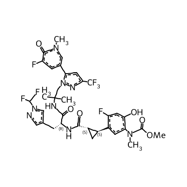 COC(=O)N(C)c1cc([C@H]2C[C@@H]2C(=O)N[C@H](Cc2cnn(C(F)F)c2)C(=O)NC(C)(C)Cn2nc(C(F)(F)F)cc2-c2cc(F)c(=O)n(C)c2)c(F)cc1O